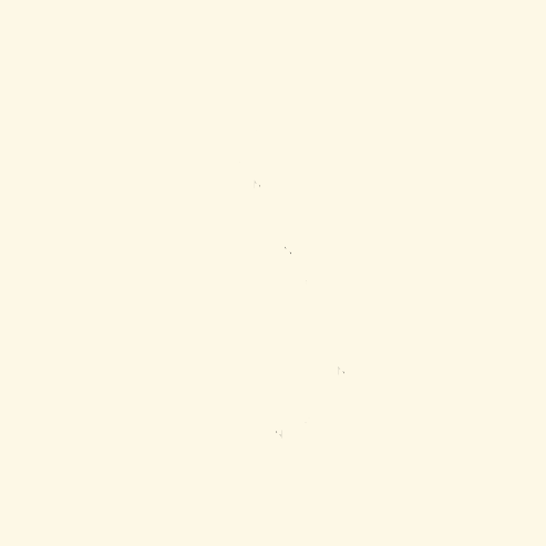 O=C(CC1CN[C@H](C(=O)N2CCSC2)C1)N1CCN(c2ccc(F)cc2)CC1